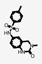 Cc1ccc(S(=O)(=O)Nc2ccc3c(c2)CN(C)C(=O)N3)cc1